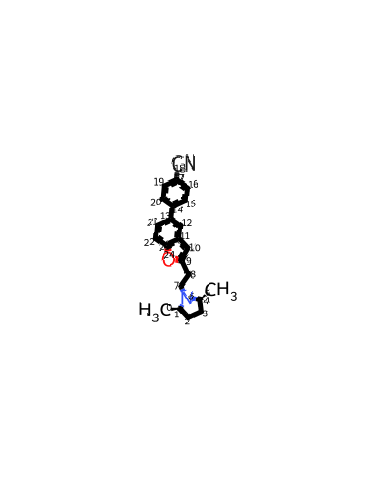 C[C@@H]1CC[C@@H](C)N1CCc1cc2cc(-c3ccc(C#N)cc3)ccc2o1